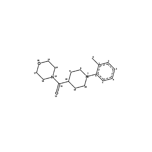 Cc1ccccc1N1CCC(C(=O)N2CCOCC2)CC1